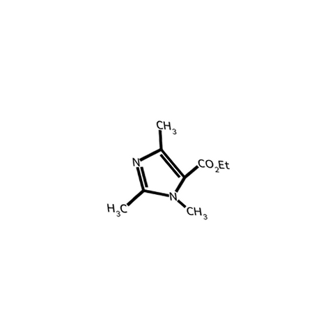 CCOC(=O)c1c(C)nc(C)n1C